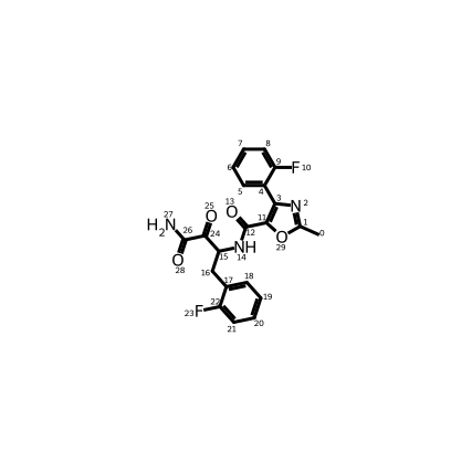 Cc1nc(-c2ccccc2F)c(C(=O)NC(Cc2ccccc2F)C(=O)C(N)=O)o1